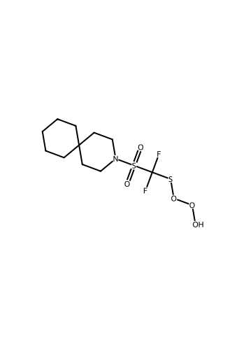 O=S(=O)(N1CCC2(CCCCC2)CC1)C(F)(F)SOOO